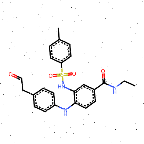 CCNC(=O)c1ccc(Nc2ccc(CC=O)cc2)c(NS(=O)(=O)c2ccc(C)cc2)c1